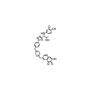 CCc1cc2ncc(CN3CCN(Cc4ccc(-c5nnc(C(Nc6ccc(C#N)c(Cl)c6)C(C)O)o5)cc4)CC3)cc2[nH]c1=O